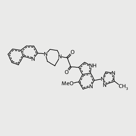 COc1cnc(-n2cnc(C)n2)c2[nH]cc(C(=O)C(=O)N3CCN(c4ccc5ccccc5n4)CC3)c12